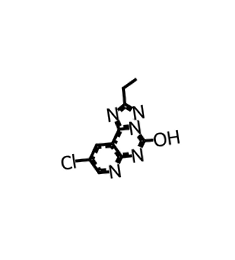 CCc1nc2c3cc(Cl)cnc3nc(O)n2n1